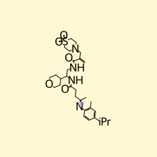 C=C(CN1CCS(=O)(=O)CC1)C(=O)NCC(NC(=O)CC/C(C)=N/c1ccc(C(C)C)cc1C)C1CCOCC1